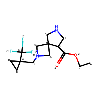 CCOC(=O)C1CNCC12CN(CC1(C(F)(F)F)CC1)C2